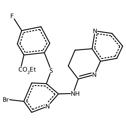 CCOC(=O)c1cc(F)ccc1Sc1cc(Br)cnc1NC1=Nc2cccnc2CC1